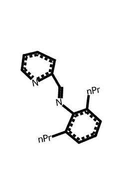 CCCc1cccc(CCC)c1N=Cc1ccccn1